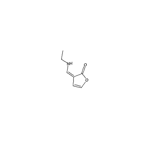 CCNC=C1C=COC1=O